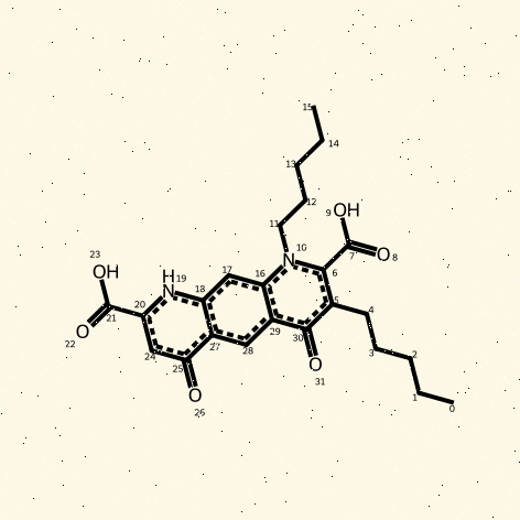 CCCCCc1c(C(=O)O)n(CCCCC)c2cc3[nH]c(C(=O)O)cc(=O)c3cc2c1=O